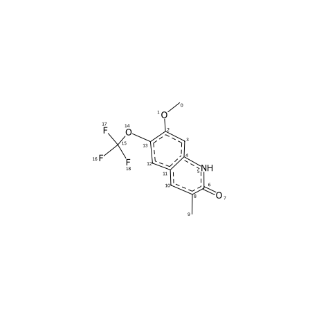 COc1cc2[nH]c(=O)c(C)cc2cc1OC(F)(F)F